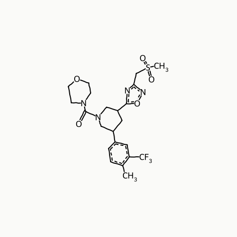 Cc1ccc(C2CC(c3nc(CS(C)(=O)=O)no3)CN(C(=O)N3CCOCC3)C2)cc1C(F)(F)F